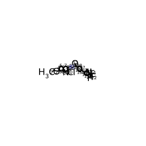 CCOc1ccc2cc(/C=C/C(=O)c3ccc(-c4ccc(C(F)(F)F)nc4)cc3)c(Cl)nc2c1